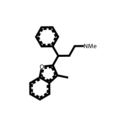 CNCCC(c1ccccc1)c1oc2ccccc2c1C